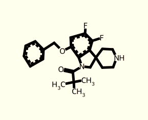 CC(C)(C)C(=O)N1CC2(CCNCC2)c2c(F)c(F)cc(OCc3ccccc3)c21